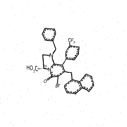 O=C(O)[C@@H]1CN(Cc2ccccc2)c2c(-c3cccc(C(F)(F)F)c3)c(Cc3cccc4ccccc34)c(Br)c(=O)n21